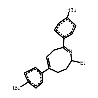 CCC1CC/C(c2ccc(C(C)(C)C)cc2)=C\C/C(c2ccc(C(C)(C)C)cc2)=N\1